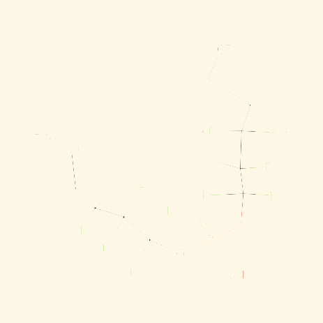 O=P(O)(OC(F)(F)C(F)(F)C(F)(F)CCC(F)(F)F)OC(F)(F)C(F)(F)C(F)(F)CCC(F)(F)F